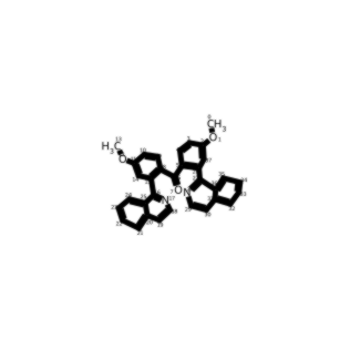 COc1ccc(C(=O)c2ccc(OC)cc2-c2nccc3ccccc23)c(-c2nccc3ccccc23)c1